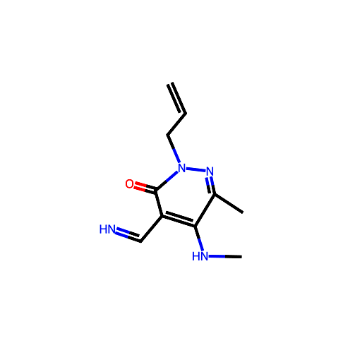 C=CCn1nc(C)c(NC)c(C=N)c1=O